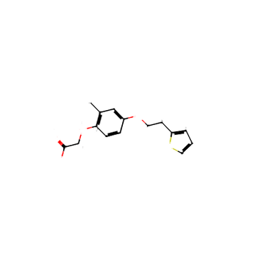 Cc1cc(OCCc2cccs2)ccc1OCC(=O)O